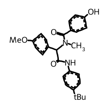 COc1ccc(C(C(=O)Nc2ccc(C(C)(C)C)cc2)N(C)C(=O)c2ccc(O)cc2)cc1